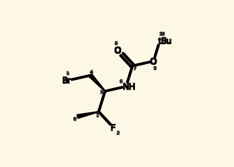 C[C@H](F)[C@@H](CBr)NC(=O)OC(C)(C)C